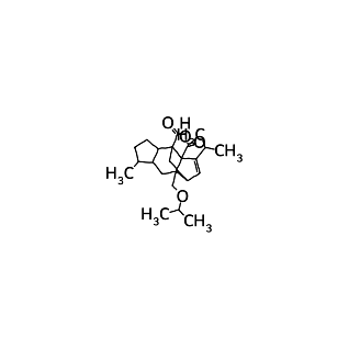 CC(C)OCC12CC3C(C)CCC3C3(C=O)CC1C=C(C(C)C)C32C(=O)O